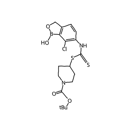 CC(C)(C)OC(=O)N1CCC(SC(=S)Nc2ccc3c(c2Cl)B(O)OC3)CC1